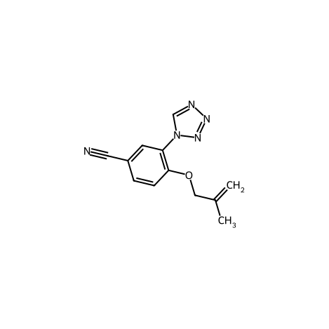 C=C(C)COc1ccc(C#N)cc1-n1cnnn1